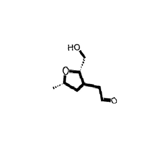 C[C@H]1CC(CC=O)[C@@H](CO)O1